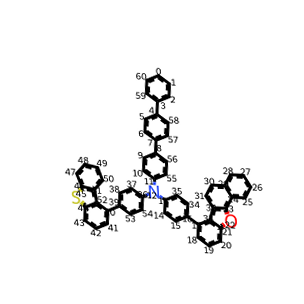 c1ccc(-c2ccc(-c3ccc(N(c4ccc(-c5cccc6oc7c8ccccc8ccc7c56)cc4)c4ccc(-c5cccc6sc7ccccc7c56)cc4)cc3)cc2)cc1